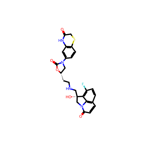 O=C1CSc2ccc(N3C[C@H](CCNC[C@]4(O)Cn5c(=O)ccc6ccc(F)c4c65)OC3=O)cc2N1